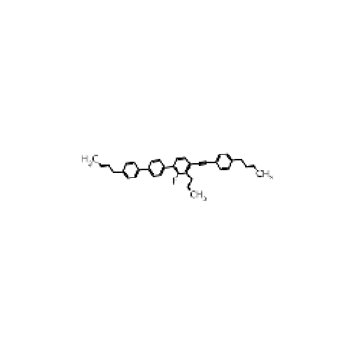 CCCCc1ccc(C#Cc2ccc(-c3ccc(-c4ccc(CCCC)cc4)cc3)c(F)c2CCC)cc1